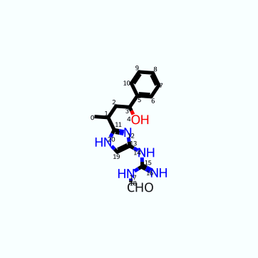 CC(CC(O)c1ccccc1)c1nc(NC(=N)NC=O)c[nH]1